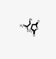 CC(C)C[C@H](N)C(=O)O.O=C1CCC(=O)O1